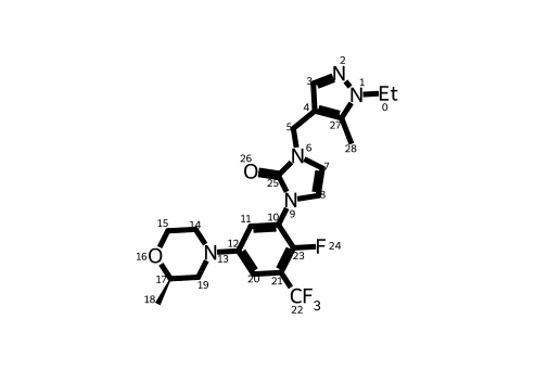 CCn1ncc(Cn2ccn(-c3cc(N4CCO[C@H](C)C4)cc(C(F)(F)F)c3F)c2=O)c1C